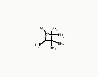 BC1N(C(C)=O)C(B)(B)C1(B)B